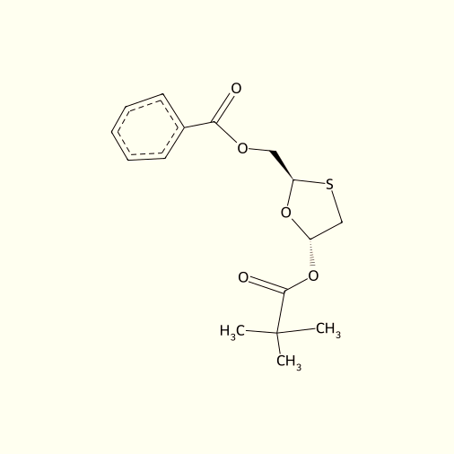 CC(C)(C)C(=O)O[C@H]1CS[C@H](COC(=O)c2ccccc2)O1